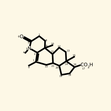 CC1=C2N(C)C(=O)CCC2(C)C2CCC3(C)C(C(=O)O)CCC3C2C1